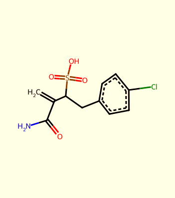 C=C(C(N)=O)C(Cc1ccc(Cl)cc1)S(=O)(=O)O